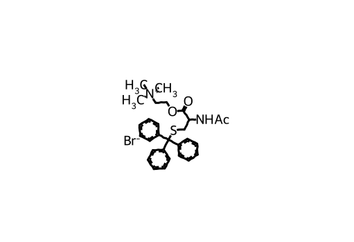 CC(=O)NC(CSC(c1ccccc1)(c1ccccc1)c1ccccc1)C(=O)OCC[N+](C)(C)C.[Br-]